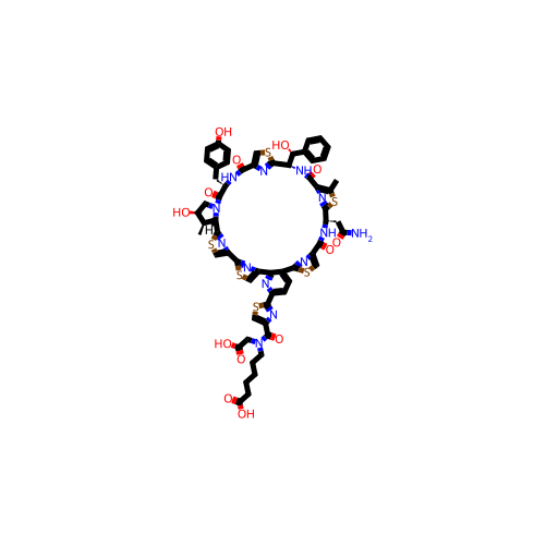 Cc1sc2nc1C(=O)N[C@@H]([C@H](O)c1ccccc1)c1nc(cs1)C(=O)N[C@@H](Cc1ccc(O)cc1)C(=O)N1C[C@H](O)[C@H](C)[C@H]1c1nc(cs1)-c1nc(cs1)-c1nc(-c3nc(C(=O)N(CCCCCC(=O)O)CC(=O)O)cs3)ccc1-c1nc(cs1)C(=O)N[C@H]2CC(N)=O